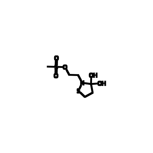 CS(=O)(=O)OCCN1SCCC1(O)O